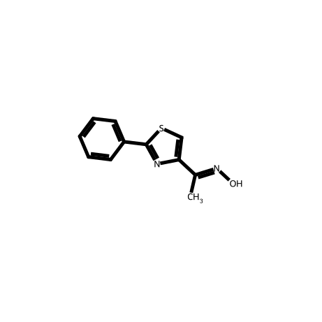 CC(=NO)c1csc(-c2ccccc2)n1